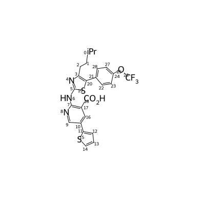 CC(C)CCc1nc(Nc2ncc(-c3cccs3)cc2C(=O)O)sc1-c1ccc(OC(F)(F)F)cc1